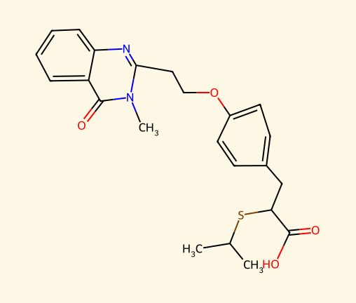 CC(C)SC(Cc1ccc(OCCc2nc3ccccc3c(=O)n2C)cc1)C(=O)O